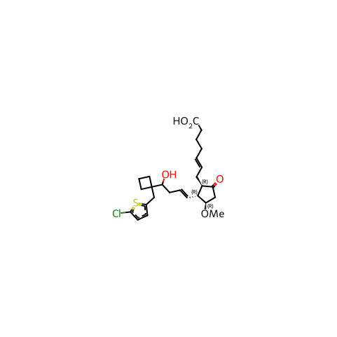 CO[C@@H]1CC(=O)[C@H](CC=CCCCC(=O)O)[C@H]1C=CCC(O)C1(Cc2ccc(Cl)s2)CCC1